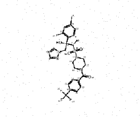 C[C@H]([C@](O)(Cn1cncn1)c1ccc(F)cc1F)S(=O)(=O)N1CCN(C(=O)c2ccc(C(F)(F)F)cc2)CC1